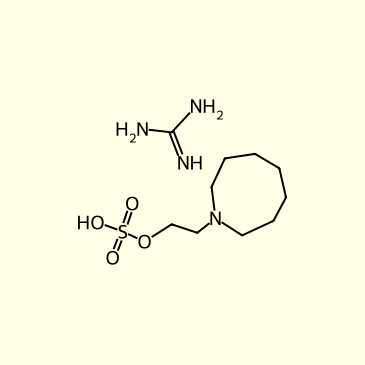 N=C(N)N.O=S(=O)(O)OCCN1CCCCCCC1